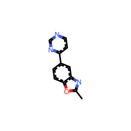 Cc1nc2cc(-c3ccncn3)ccc2o1